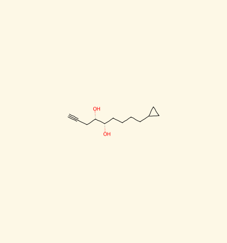 C#CC[C@H](O)[C@@H](O)CCCCC1CC1